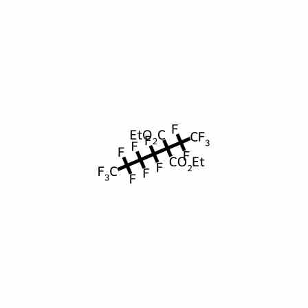 CCOC(=O)C(C(=O)OCC)(C(F)(F)C(F)(F)F)C(F)(F)C(F)(F)C(F)(F)C(F)(F)F